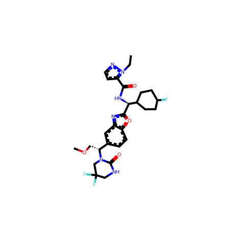 CCn1nccc1C(=O)N[C@H](c1nc2cc([C@@H](COC)N3CC(F)(F)CNC3=O)ccc2o1)C1CCC(F)CC1